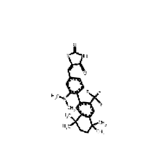 CN(C)c1cc(C=C2SC(=O)NC2=O)ccc1-c1cc2c(cc1C(F)(F)F)C(C)(C)CCC2(C)C